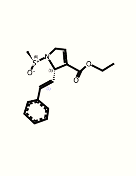 CCOC(=O)C1=CCN([S@+](C)[O-])[C@H]1/C=C/c1ccccc1